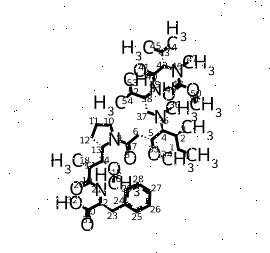 CC[C@H](C)[C@@H]([C@@H](CC(=O)N1CCC[C@H]1[C@H](OC)[C@@H](C)C(=O)N[C@@H](Cc1ccccc1)C(=O)O)OC)N(C)C[C@@H](NC(=O)[C@H](C(C)C)N(C)C(=O)OC)C(C)C